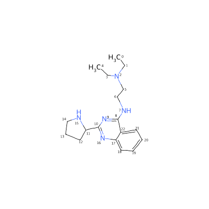 CCN(CC)CCNc1nc(C2CCCN2)nc2ccccc12